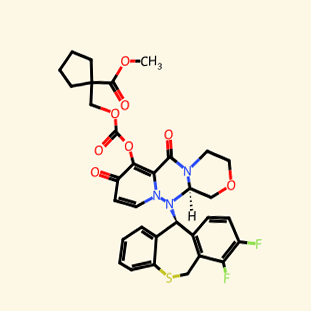 COC(=O)C1(COC(=O)Oc2c3n(ccc2=O)N([C@@H]2c4ccccc4SCc4c2ccc(F)c4F)[C@@H]2COCCN2C3=O)CCCC1